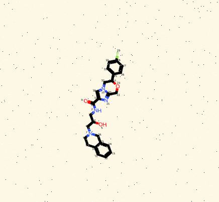 O=C(NCC(O)CN1CCc2ccccc2C1)c1cn2c(n1)COC(c1ccc(F)cc1)C2